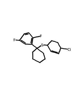 Fc1ccc(F)c(C2(SC3C=CC(Cl)CC3)CCCCC2)c1